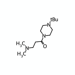 CN(C)CCC(=O)N1CCN(C(C)(C)C)CC1